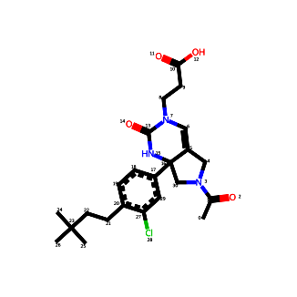 CC(=O)N1CC2=CN(CCC(=O)O)C(=O)NC2(c2ccc(CCC(C)(C)C)c(Cl)c2)C1